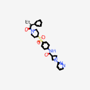 CC[C@H](C(=O)N1CCC(S(=O)(=O)c2ccc(NC(=O)C3CN(c4cccnn4)C3)cc2)CC1)c1ccccc1